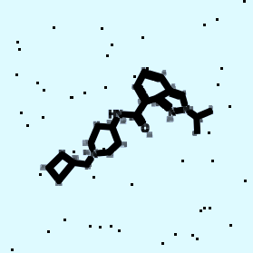 CC(C)n1cc2cccc(C(=O)NC3CCN(CC4CCC4)CC3)c2n1